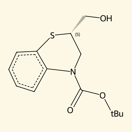 CC(C)(C)OC(=O)N1C[C@@H](CO)Sc2ccccc21